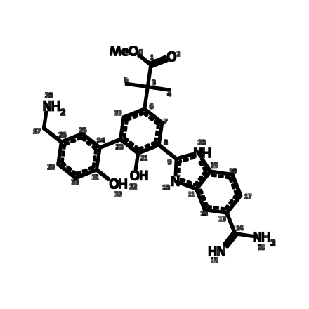 COC(=O)C(C)(C)c1cc(-c2nc3cc(C(=N)N)ccc3[nH]2)c(O)c(-c2cc(CN)ccc2O)c1